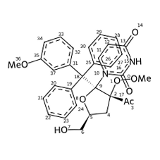 COO[C@]1(C(C)=O)C[C@@H](CO)O[C@]1(n1ccc(=O)[nH]c1=O)C(c1ccccc1)(c1ccccc1)c1cccc(OC)c1